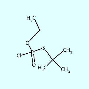 CCOP(=O)(Cl)SC(C)(C)C